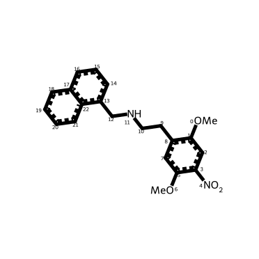 COc1cc([N+](=O)[O-])c(OC)cc1CCNCc1cccc2ccccc12